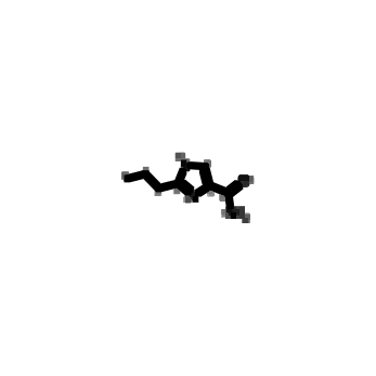 CCCc1nc(C(N)=O)cs1